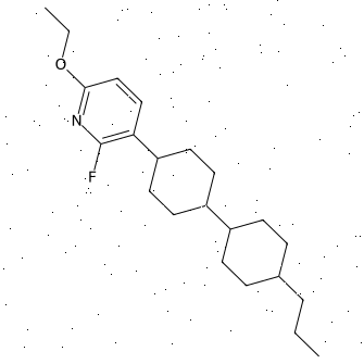 CCCC1CCC(C2CCC(c3ccc(OCC)nc3F)CC2)CC1